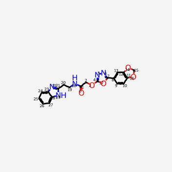 O=C(COc1nnc(-c2ccc3c(c2)OCO3)o1)NCCc1nc2ccccc2[nH]1